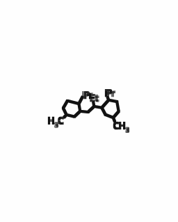 CCC(CC1CC(C)CCC1C(C)C)C1CC(C)CCC1C(C)C